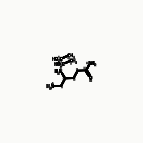 CC(=O)O.CC(=O)O.NCC(N)CCC(N)=O